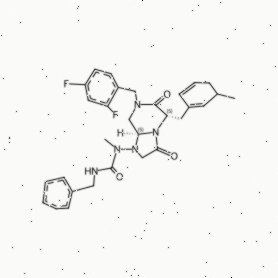 CC1C=C(C[C@H]2C(=O)N(Cc3ccc(F)cc3F)C[C@H]3N2C(=O)CN3N(C)C(=O)NCc2ccccc2)C=CC1